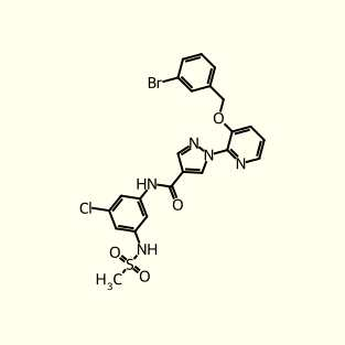 CS(=O)(=O)Nc1cc(Cl)cc(NC(=O)c2cnn(-c3ncccc3OCc3cccc(Br)c3)c2)c1